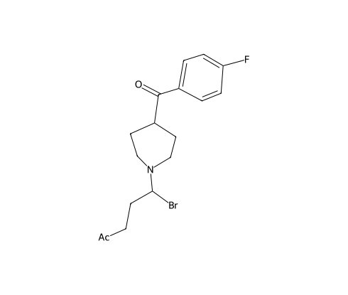 CC(=O)CCC(Br)N1CCC(C(=O)c2ccc(F)cc2)CC1